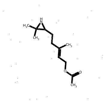 CC(=O)OC/C=C(\C)CCC1NC1(C)C